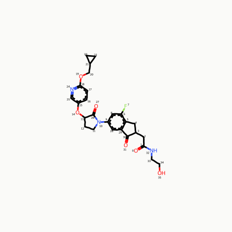 O=C(CC1Cc2c(F)cc(N3CCC(Oc4ccc(OCC5CC5)nc4)C3=O)cc2C1=O)NCCO